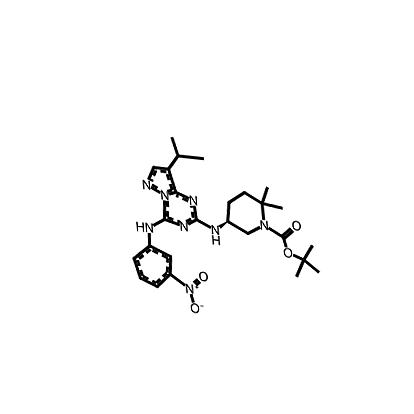 CC(C)c1cnn2c(Nc3cccc([N+](=O)[O-])c3)nc(N[C@H]3CCC(C)(C)N(C(=O)OC(C)(C)C)C3)nc12